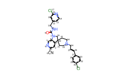 N#Cc1cc2c(cn1)N(C(=O)NCc1ccnc(Cl)c1)CC21CCN(CC=Cc2ccc(Cl)cc2)CC1